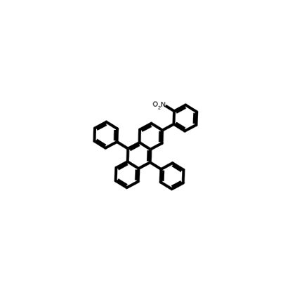 O=[N+]([O-])c1ccccc1-c1ccc2c(-c3ccccc3)c3ccccc3c(-c3ccccc3)c2c1